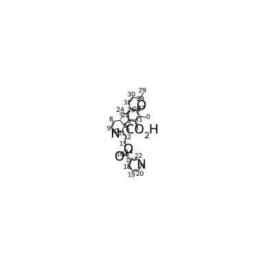 Cc1c(C)c(C2(C(=O)O)CC=CN=C2CCOC(=O)c2cccnc2)c(C)c2c1OC(C)C=C2